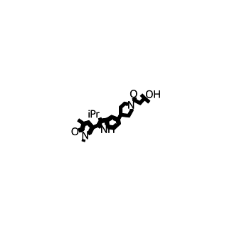 Cc1cc(-c2[nH]c3ccc(C4CCN(C(=O)CC(C)(C)O)CC4)cc3c2C(C)C)cn(C)c1=O